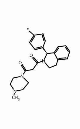 CN1CCN(C(=O)CC(=O)N2CCc3ccccc3[C@@H]2c2ccc(F)cc2)CC1